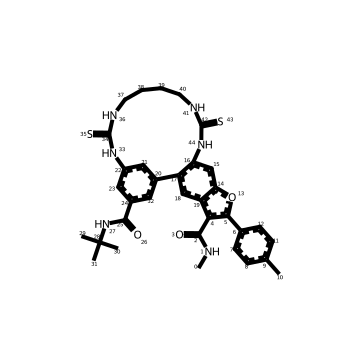 CNC(=O)c1c(-c2ccc(C)cc2)oc2cc3c(cc12)-c1cc(cc(C(=O)NC(C)(C)C)c1)NC(=S)NCCCCNC(=S)N3